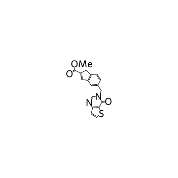 COC(=O)C1=Cc2cc(Cn3cnc4ccsc4c3=O)ccc2C1